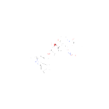 CC(=O)N1CCS(O)(O)C(CC(=O)NO)(c2ccc(OCc3cc(C)nc4ccccc34)cc2)C1